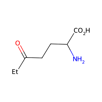 CCC(=O)CCC(N)C(=O)O